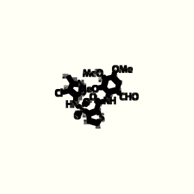 COc1cc(C=O)c(NC(=O)c2sccc2S(=O)(=O)Nc2onc(C)c2Cl)c(OC)c1OC